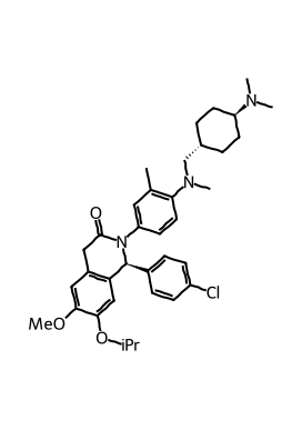 COc1cc2c(cc1OC(C)C)[C@H](c1ccc(Cl)cc1)N(c1ccc(N(C)C[C@H]3CC[C@H](N(C)C)CC3)c(C)c1)C(=O)C2